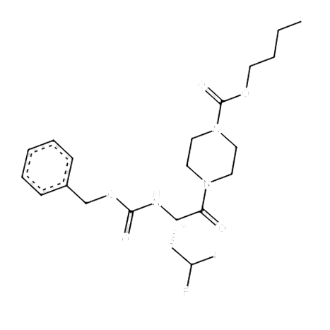 CCCCOC(=O)N1CCN(C(=O)[C@H](CC(F)F)NC(=O)OCc2ccccc2)CC1